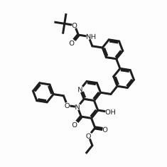 CCOC(=O)c1c(O)c2c(Cc3cccc(-c4cccc(CNC(=O)OC(C)(C)C)c4)c3)ccnc2n(OCc2ccccc2)c1=O